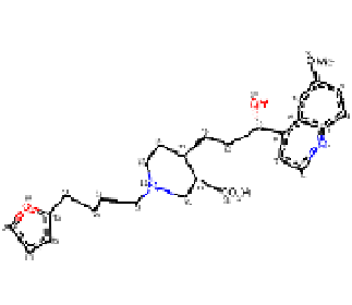 COc1ccc2nccc([C@@H](O)CC[C@@H]3CCN(CCCCc4ccco4)C[C@@H]3C(=O)O)c2c1